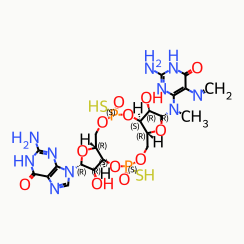 C=Nc1c(N(C)[C@@H]2O[C@@H]3CO[P@](=O)(S)O[C@H]4[C@@H](O)[C@H](n5cnc6c(=O)[nH]c(N)nc65)O[C@@H]4CO[P@](=O)(S)O[C@H]3[C@H]2O)nc(N)[nH]c1=O